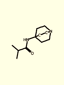 CC(C)C(=O)NC12CCN(CC1)CC2